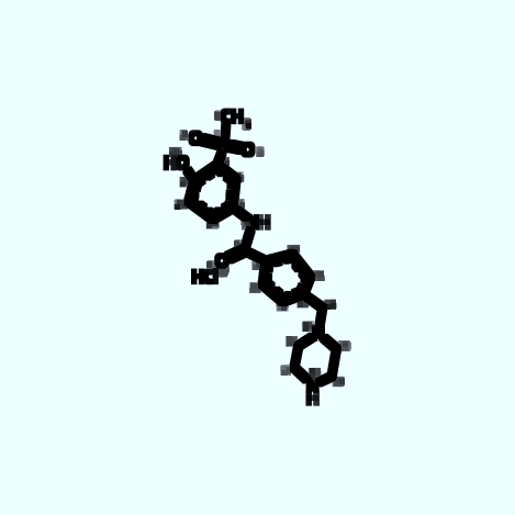 CS(=O)(=O)c1cc(NC(=O)c2ccc(CN3CCNCC3)cc2)ccc1O.Cl